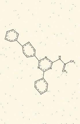 C=C(C)Nc1nc(-c2ccccc2)nc(-c2ccc(-c3ccccc3)cc2)n1